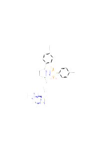 Cc1ccc(S(=O)(=O)N2C(CCCc3ncn[nH]3)CCC2c2ccc(F)cc2)cc1